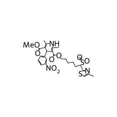 COC(=O)C1=C(C)NC(C)=C(C(=O)OCCCCCC(c2nc(C)cs2)=S(=O)=O)C1c1cccc([N+](=O)[O-])c1